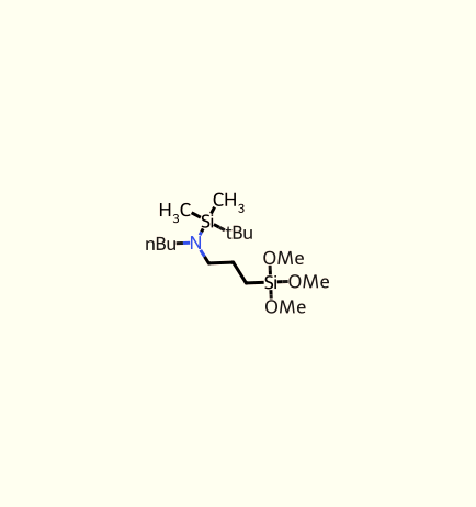 CCCCN(CCC[Si](OC)(OC)OC)[Si](C)(C)C(C)(C)C